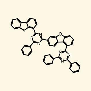 c1ccc(-c2nc(-c3ccc4c(c3)oc3cccc(-c5nc(-c6ccccc6)nc(-c6ccccc6)n5)c34)nc(-c3cccc4c3sc3ccccc34)n2)cc1